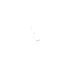 CC(C)(C)OC(=O)C[C@@H](O)CC(=O)O